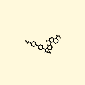 CN1CCN(c2ccc(-c3n[nH]c4cnc(-c5c(F)ccc6c5CCCC6N)nc34)cc2)CC1